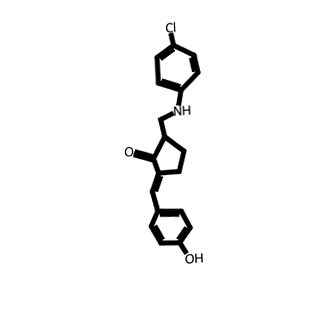 O=C1C(=Cc2ccc(O)cc2)CCC1CNc1ccc(Cl)cc1